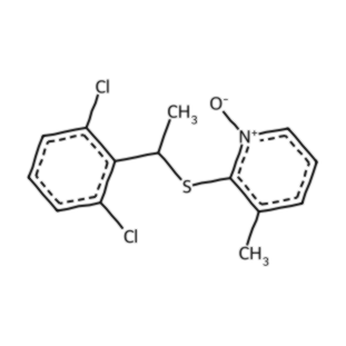 Cc1ccc[n+]([O-])c1SC(C)c1c(Cl)cccc1Cl